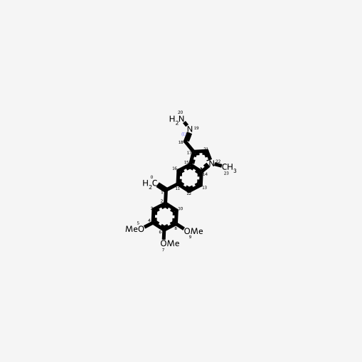 C=C(c1cc(OC)c(OC)c(OC)c1)c1ccc2c(c1)c(/C=N/N)cn2C